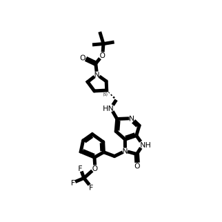 CC(C)(C)OC(=O)N1CC[C@@H](CNc2cc3c(cn2)[nH]c(=O)n3Cc2ccccc2OC(F)(F)F)C1